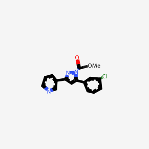 COC(=O)n1nc(-c2cccnc2)cc1-c1cccc(Cl)c1